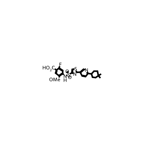 COc1cc(C(=O)O)c(F)cc1NS(=O)(=O)c1csc(-c2ccc(C3CCC(C)(C)CC3)nc2)n1